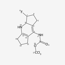 O=C(NC1=C2CCC(F)C2NC2=C1CCC2)OC(Cl)(Cl)Cl